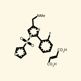 CNCc1cn(S(=O)(=O)c2ccsc2)c(-c2ccccc2F)n1.O=C(O)C=CC(=O)O